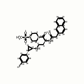 CS(=O)(=O)N1CCN(C(=O)[C@H](CCN[C@@H]2C[C@H]2c2ccc(F)cc2)NC(=O)Cc2ccc3ccccc3c2)CC1